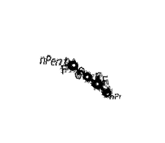 CCCCCc1ccc(C(=O)Oc2ccc(-c3ccc(-c4ccc(CCC)cc4)c(F)c3F)cc2)cc1F